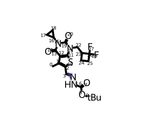 Cc1c(/C=N/NC(=O)OC(C)(C)C)sc2c1c(=O)n(C1CC1)c(=O)n2CC1CCC1(F)F